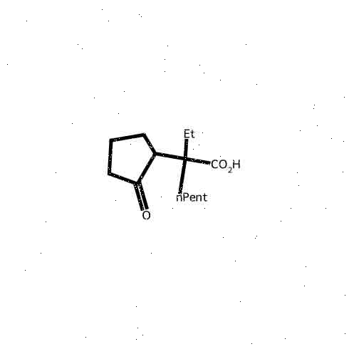 CCCCCC(CC)(C(=O)O)C1CCCC1=O